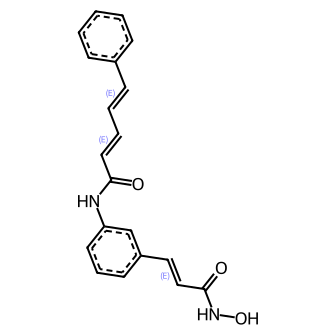 O=C(/C=C/c1cccc(NC(=O)/C=C/C=C/c2ccccc2)c1)NO